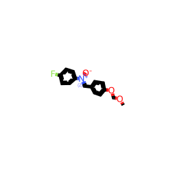 COCOc1ccc(/C=[N+](\[O-])c2ccc(F)cc2)cc1